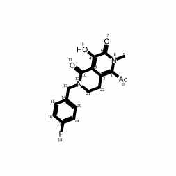 CC(=O)c1c2c(c(O)c(=O)n1C)C(=O)N(Cc1ccc(F)cc1)CC2